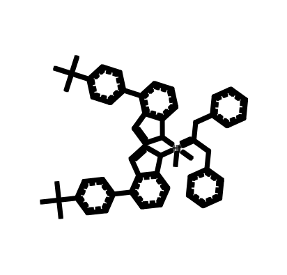 CC(C)(C)c1ccc(-c2cccc3c2C=C[CH]3[Hf]([CH3])([CH3])(=[C](Cc2ccccc2)Cc2ccccc2)[CH]2C=Cc3c(-c4ccc(C(C)(C)C)cc4)cccc32)cc1